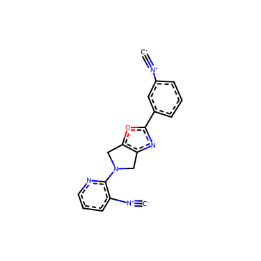 [C-]#[N+]c1cccc(-c2nc3c(o2)CN(c2ncccc2[N+]#[C-])C3)c1